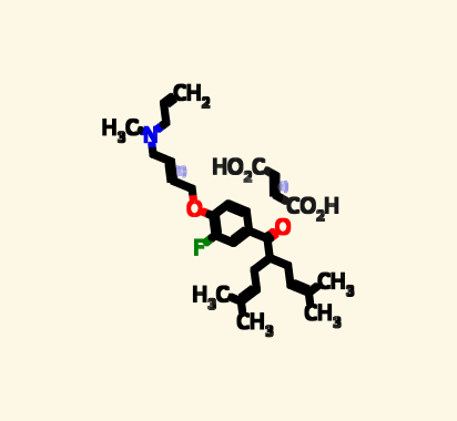 C=CCN(C)C/C=C/COc1ccc(C(=O)C(CC=C(C)C)CC=C(C)C)cc1F.O=C(O)/C=C/C(=O)O